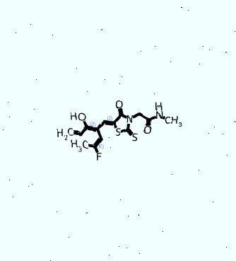 C=C/C(O)=C(/C=C1\SC(=S)N(CC(=O)NC)C1=O)\C=C(/C)F